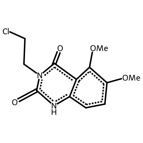 COc1ccc2[nH]c(=O)n(CCCl)c(=O)c2c1OC